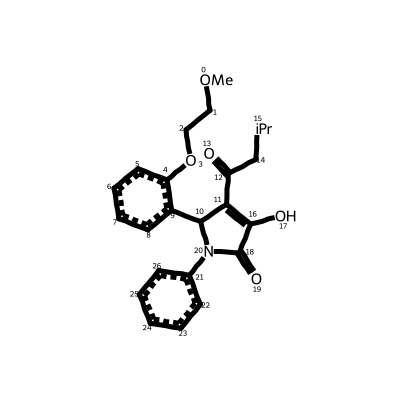 COCCOc1ccccc1C1C(C(=O)CC(C)C)=C(O)C(=O)N1c1ccccc1